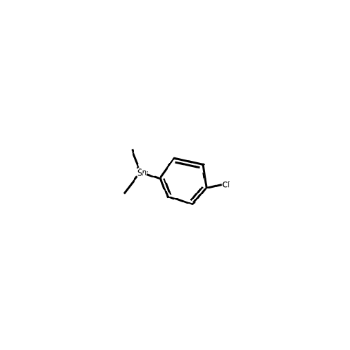 [CH3][Sn]([CH3])[c]1ccc(Cl)cc1